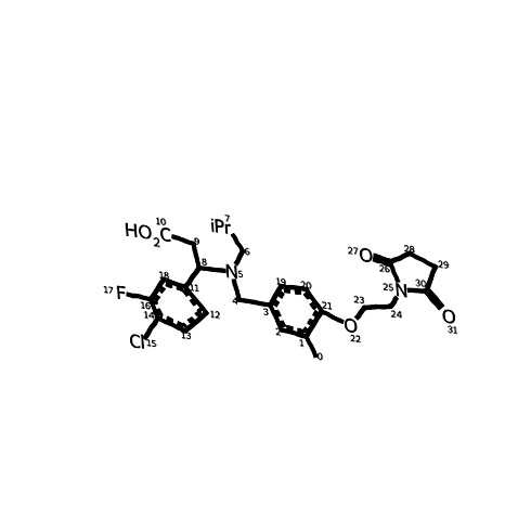 Cc1cc(CN(CC(C)C)C(CC(=O)O)c2ccc(Cl)c(F)c2)ccc1OCCN1C(=O)CCC1=O